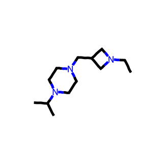 CCN1CC(CN2CCN(C(C)C)CC2)C1